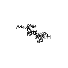 COc1cc2nccc(Oc3ccc(NC(=O)c4cc5c(n([C@H](CO)C(C)C)c4=O)CCCC5=O)nc3)c2cc1OC